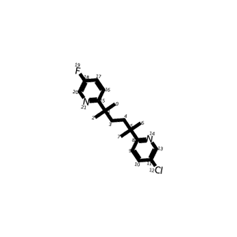 CC(C)(CCC(C)(C)c1ccc(Cl)cn1)c1ccc(F)cn1